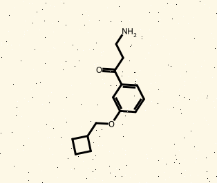 NCCC(=O)c1cccc(OCC2CCC2)c1